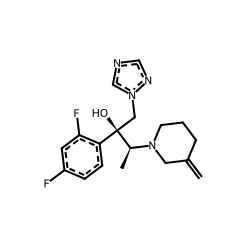 C=C1CCCN([C@@H](C)[C@@](O)(Cn2cncn2)c2ccc(F)cc2F)C1